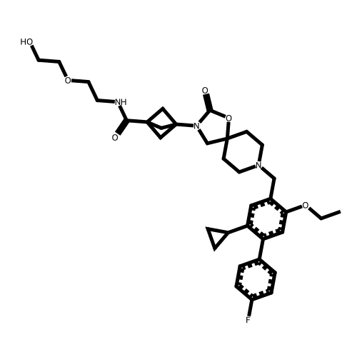 CCOc1cc(-c2ccc(F)cc2)c(C2CC2)cc1CN1CCC2(CC1)CN(C13CC(C(=O)NCCOCCO)(C1)C3)C(=O)O2